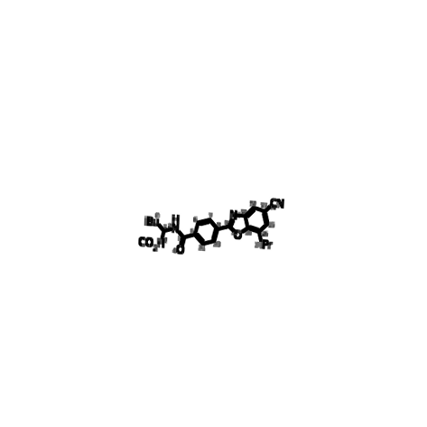 CCC(C)C(NC(=O)c1ccc(-c2nc3cc(C#N)cc(C(C)C)c3o2)cc1)C(=O)O